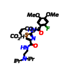 COc1cc(F)c(C(=O)Nc2nc(C(=O)NCCN(C(C)C)C(C)C)cs2)cc1OC.O=C(O)/C=C\C(=O)O